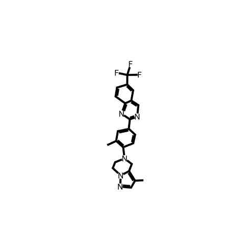 Cc1cc(-c2ncc3cc(C(F)(F)F)ccc3n2)ccc1N1CCn2ncc(C)c2C1